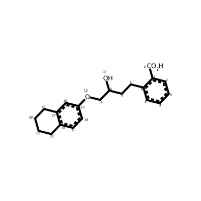 O=C(O)c1ccccc1CCC(O)COc1ccc2c(c1)CCCC2